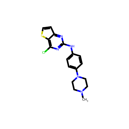 CN1CCN(c2ccc(Nc3nc(Cl)c4sccc4n3)cc2)CC1